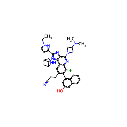 CCn1ccc(-c2nc3c(N4CC(N(C)C)C4)nc4c(F)c(-c5cc(O)cc6ccccc56)c(CCC#N)cc4c3n2C2C3CNC2C3)n1